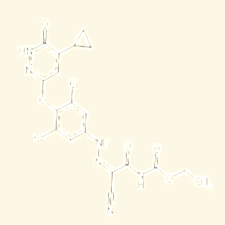 CCOC(=O)NC(=O)C(C#N)=NNc1cc(Cl)c(Oc2cc(C3CC3)c(=O)[nH]n2)c(Cl)c1